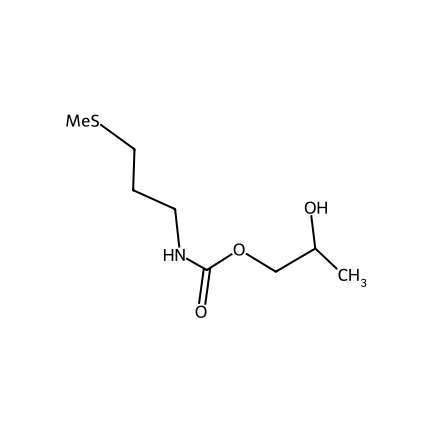 CSCCCNC(=O)OCC(C)O